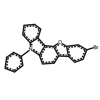 Brc1ccc2c(c1)oc1c2ccc2c1c1ccccc1n2-c1ccccc1